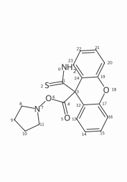 NC(=S)C1(C(=O)ON2CCCC2)c2ccccc2Oc2ccccc21